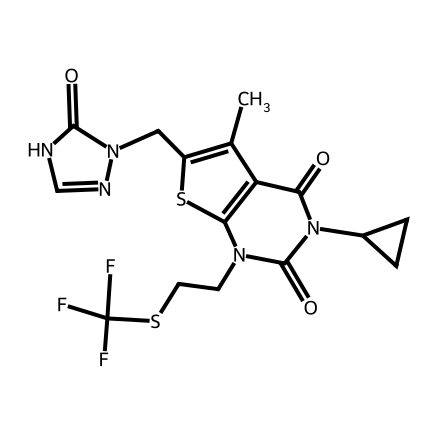 Cc1c(Cn2nc[nH]c2=O)sc2c1c(=O)n(C1CC1)c(=O)n2CCSC(F)(F)F